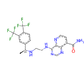 C[C@H](NCCNc1ncnc2c(C(N)=O)ccnc12)c1ccc(C(F)(F)F)c(C(F)(F)F)c1